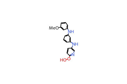 COc1cccc(Nc2cccc(Nc3ccc(OO)nc3)c2)c1